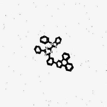 c1ccc(-c2nc(-c3cccc(-c4ccc5c6ccccc6c6ccccc6c5c4)c3)nc(-c3nc4ccccc4n3-c3ccccc3)n2)cc1